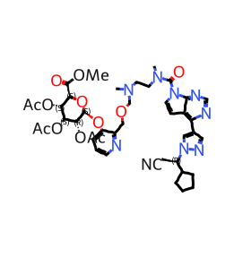 COC(=O)[C@H]1O[C@@H](Oc2cccnc2COCN(C)CCN(C)C(=O)n2ccc3c(-c4cnn([C@H](CC#N)C5CCCC5)c4)ncnc32)[C@H](OC(C)=O)[C@@H](OC(C)=O)[C@@H]1OC(C)=O